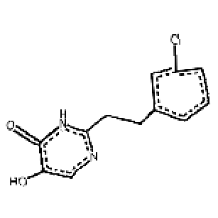 O=c1[nH]c(CCc2cccc(Cl)c2)ncc1O